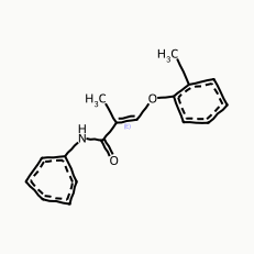 C/C(=C\Oc1ccccc1C)C(=O)Nc1ccccc1